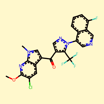 COc1nc2c(cc1Cl)c(C(=O)c1cnn(-c3cncc4c(F)cccc34)c1C(F)(F)F)cn2C